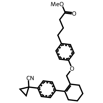 COC(=O)CCCc1ccc(OCC2=C(c3ccc(C4(C#N)CC4)cc3)CCCC2)cc1